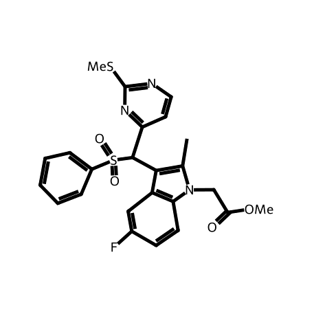 COC(=O)Cn1c(C)c(C(c2ccnc(SC)n2)S(=O)(=O)c2ccccc2)c2cc(F)ccc21